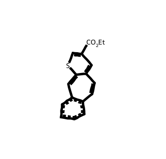 CCOC(=O)C1=CSC2=Cc3ccccc3C=CC2=C1